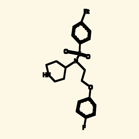 CCc1ccc(S(=O)(=O)N(CCOc2ccc(F)cc2)C2CCNCC2)cc1